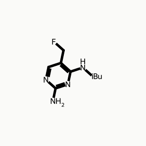 CCC(C)Nc1nc(N)ncc1CF